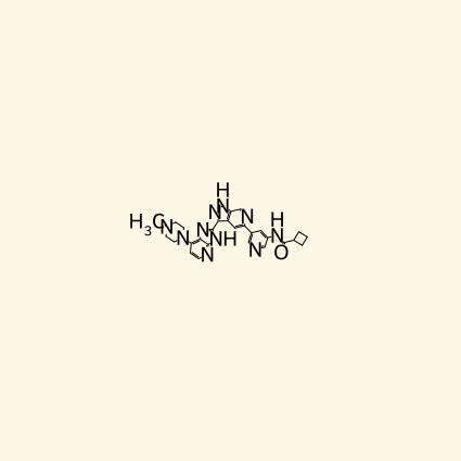 CN1CCN(c2ccnc3[nH]c(-c4n[nH]c5cnc(-c6cncc(NC(=O)C7CCC7)c6)cc45)nc23)CC1